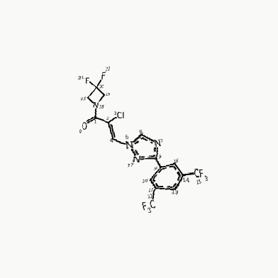 O=C(C(Cl)=Cn1cnc(-c2cc(C(F)(F)F)cc(C(F)(F)F)c2)n1)N1CC(F)(F)C1